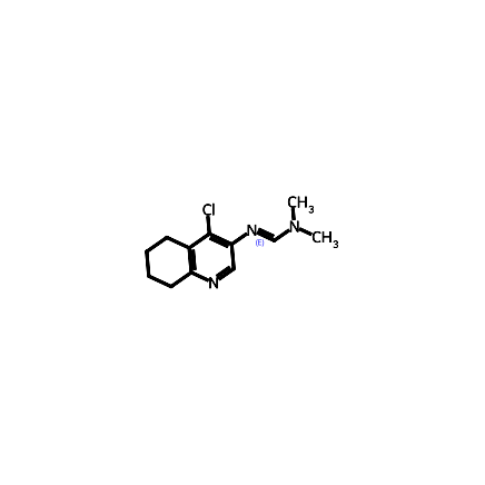 CN(C)/C=N/c1cnc2c(c1Cl)CCCC2